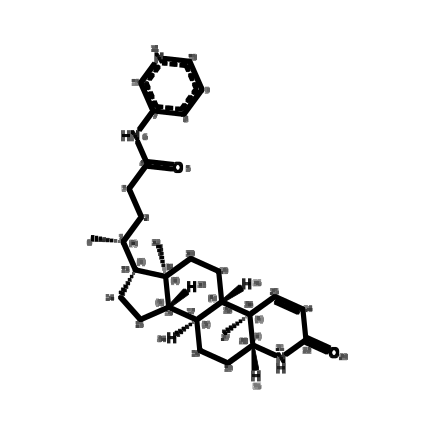 C[C@H](CCC(=O)Nc1cccnc1)[C@H]1CC[C@H]2[C@@H]3CC[C@H]4NC(=O)C=C[C@]4(C)[C@H]3CC[C@]12C